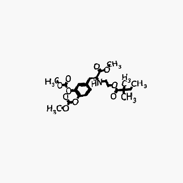 CCC(C)(C)C(=O)OCCN[C@@H](Cc1ccc(OC(=O)OC)c(OC(=O)OC)c1)C(=O)OC